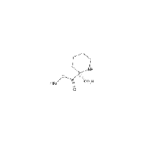 CCCCOC(=O)[C@@]1(C(=O)O)CCCCN1